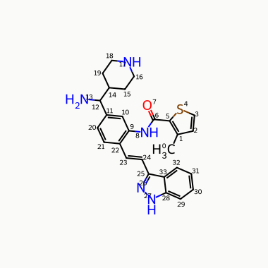 Cc1ccsc1C(=O)Nc1cc(C(N)C2CCNCC2)ccc1/C=C/c1n[nH]c2ccccc12